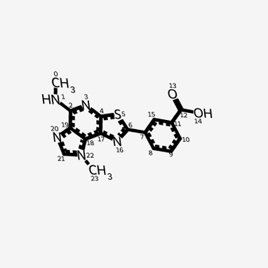 CNc1nc2sc(-c3cccc(C(=O)O)c3)nc2c2c1ncn2C